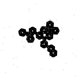 c1ccc(-n2c3ccccc3c3c(-c4ccc(N(c5cccc(-c6ccc7ccccc7c6)c5)c5cccc([Si](c6ccccc6)(c6ccccc6)c6ccccc6)c5)cc4)cccc32)cc1